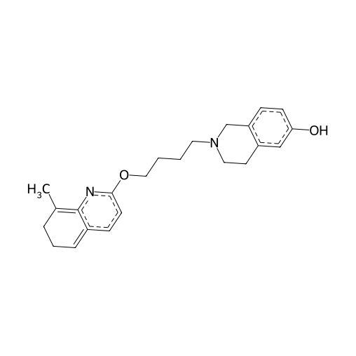 CC1=c2nc(OCCCCN3CCc4cc(O)ccc4C3)ccc2=CCC1